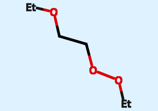 CCOCCOOCC